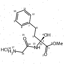 COC(=O)[C@@](O)(CCc1ccccc1)NC(=O)CN.Cl